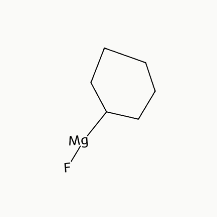 [F][Mg][CH]1CCCCC1